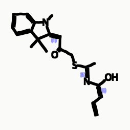 C=C/C=C(O)\N=C(/C)SCC(=O)/C=C1/N(C)c2ccccc2C1(C)C